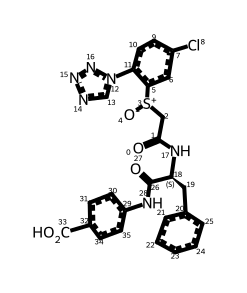 O=C(C[S+]([O-])c1cc(Cl)ccc1-n1cnnn1)N[C@@H](Cc1ccccc1)C(=O)Nc1ccc(C(=O)O)cc1